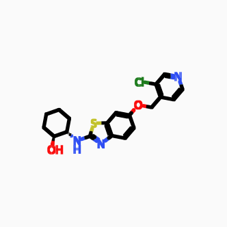 O[C@H]1CCCC[C@@H]1Nc1nc2ccc(OCc3ccncc3Cl)cc2s1